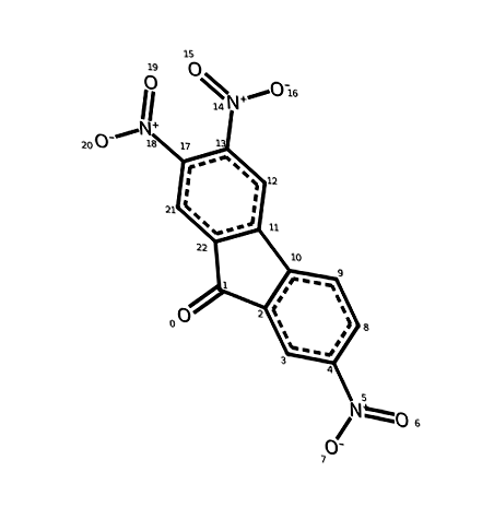 O=C1c2cc([N+](=O)[O-])ccc2-c2cc([N+](=O)[O-])c([N+](=O)[O-])cc21